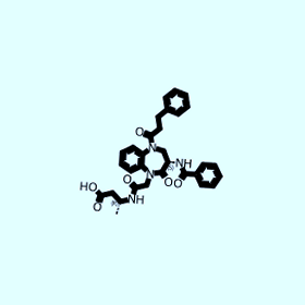 C[C@H](CC(=O)O)NC(=O)CN1C(=O)[C@@H](NC(=O)c2ccccc2)CN(C(=O)CCc2ccccc2)c2ccccc21